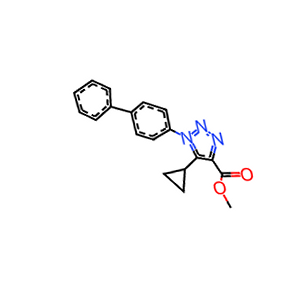 COC(=O)c1nnn(-c2ccc(-c3ccccc3)cc2)c1C1CC1